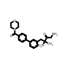 CC(N)(Cc1cccc(-c2ccc(C(=O)N3CCOCC3)cc2)c1)C(=O)CN